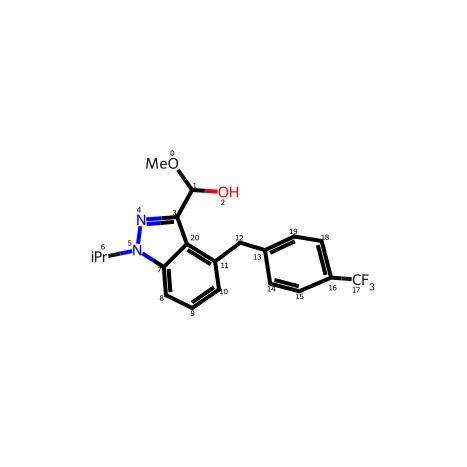 COC(O)c1nn(C(C)C)c2cccc(Cc3ccc(C(F)(F)F)cc3)c12